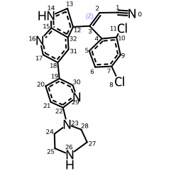 N#C/C=C(\c1ccc(Cl)cc1Cl)c1c[nH]c2ncc(-c3ccc(N4CCNCC4)nc3)cc12